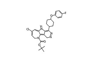 CC(C)(C)OC(=O)N1CC=C(Cl)C=c2[nH]c3c(c21)CN=NC=3C1CCC(Oc2ccc(F)cc2)CC1